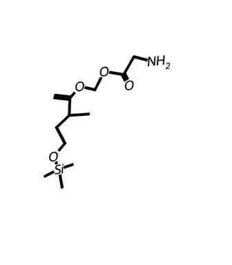 C=C(OCOC(=O)CN)C(C)CCO[Si](C)(C)C